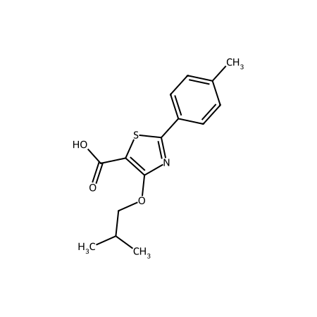 Cc1ccc(-c2nc(OCC(C)C)c(C(=O)O)s2)cc1